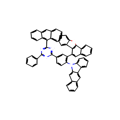 c1ccc(-c2nc(-c3ccc(-n4c5ccccc5c5cc6ccccc6cc54)c(-c4cc5ccccc5c5oc6ccccc6c45)c3)nc(-c3c4ccccc4cc4ccccc34)n2)cc1